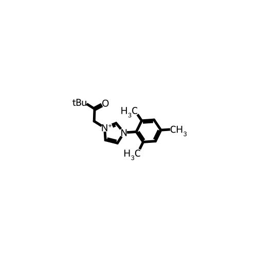 Cc1cc(C)c(-n2cc[n+](CC(=O)C(C)(C)C)c2)c(C)c1